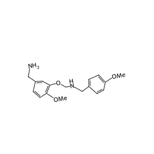 COc1ccc(CNCOc2cc(CN)ccc2OC)cc1